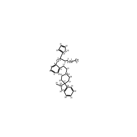 CCNCCC(Oc1ccccc1CCN1CCC(c2ccccc2)(N(C)C)CC1)c1cccs1